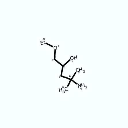 CCOCC(O)CC(C)(C)N